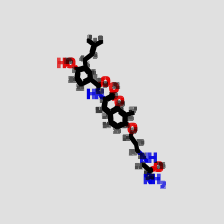 CC(C)=CCc1cc(C(=O)Nc2cc3ccc(OCCCNCC(N)=O)c(C)c3oc2=O)ccc1O